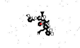 COc1cccc(COC2CC(c3cc4c(C)nc5c(F)c(-c6cccc(Cl)c6Cl)c(CCC#N)cc5c4n3C3C4CNC3C4)N(C(=O)C3CC3)C2)n1